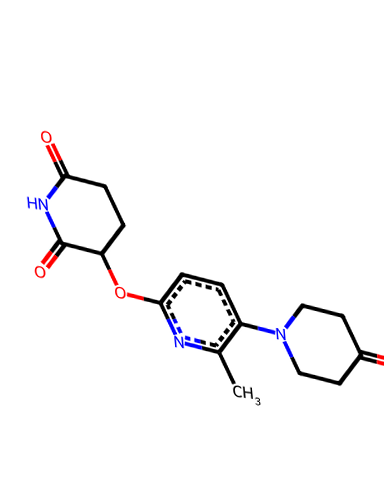 Cc1nc(OC2CCC(=O)NC2=O)ccc1N1CCC(=O)CC1